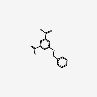 O=C(Cl)c1cc(OCc2ccccc2)cc(C(=O)Cl)c1